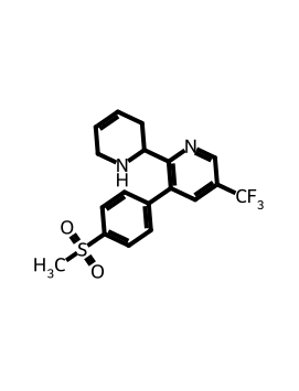 CS(=O)(=O)c1ccc(-c2cc(C(F)(F)F)cnc2C2CC=CCN2)cc1